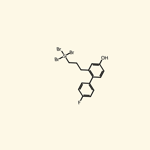 Oc1ccc(-c2ccc(F)cc2)c(CCC[Si](Br)(Br)Br)c1